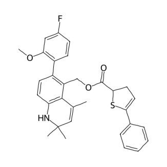 COc1cc(F)ccc1-c1ccc2c(c1COC(=O)C1CC=C(c3ccccc3)S1)C(C)=CC(C)(C)N2